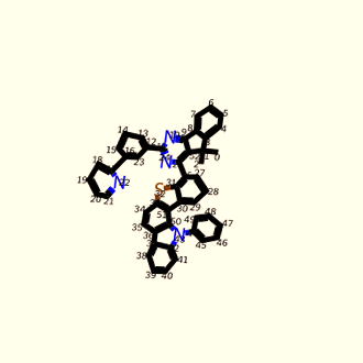 CC1(C)c2ccccc2-c2nc(-c3cccc(-c4ccccn4)c3)nc(-c3cccc4c3sc3ccc5c6ccccc6n(-c6ccccc6)c5c34)c21